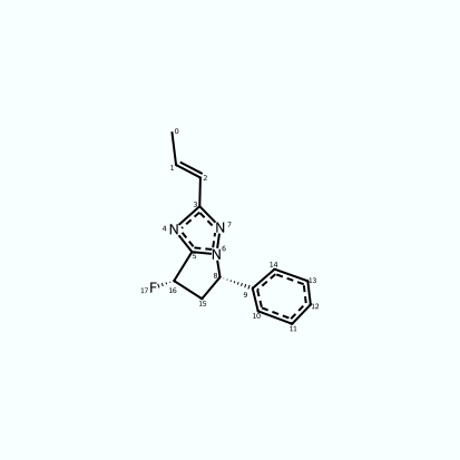 C/C=C/c1nc2n(n1)[C@H](c1ccccc1)C[C@@H]2F